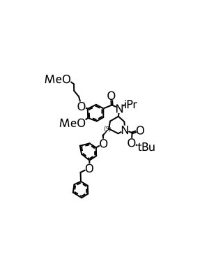 COCCCOc1cc(C(=O)N(C(C)C)C2C[C@H](COc3cccc(OCc4ccccc4)c3)CN(C(=O)OC(C)(C)C)C2)ccc1OC